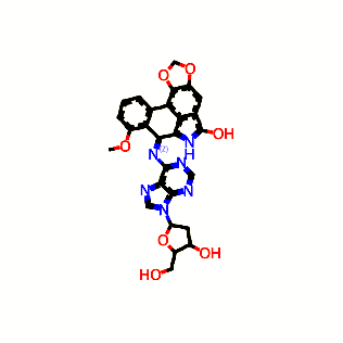 COc1cccc2c1/C(=N/c1ncnc3c1ncn3C1CC(O)C(CO)O1)c1[nH]c(O)c3cc4c(c-2c13)OCO4